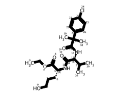 CCOC(=O)[C@@H](CCCO)NC(=O)[C@@H](NC(=O)C(C)(C)c1ccc(Cl)cc1)C(C)C